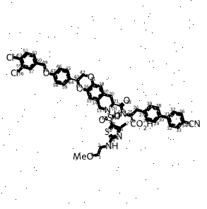 COCCNc1nc(C)c(S(=O)(=O)N2Cc3cc4c(cc3C[C@H]2C(=O)N[C@@H](Cc2ccc(-c3ccc(C#N)cc3)cc2)C(=O)O)OC[C@H](c2ccc(OCc3ccc(Cl)c(Cl)c3)cc2)O4)s1